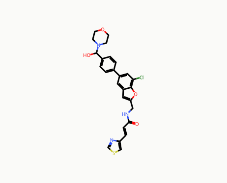 O=C(/C=C/c1cscn1)NCc1cc2cc(-c3ccc(C(O)N4CCOCC4)cc3)cc(Cl)c2o1